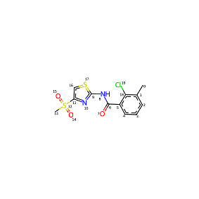 Cc1cccc(C(=O)Nc2nc(S(C)(=O)=O)cs2)c1Cl